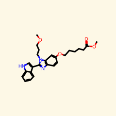 COCCCn1c(-c2c[nH]c3ccccc23)nc2ccc(OCCCCCC(=O)OC)cc21